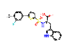 Cc1ccc(-c2ccc(S(=O)(=O)N[C@H](Cc3c[nH]c4ccccc34)C(=O)O)s2)cc1F